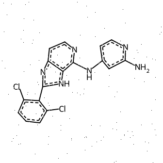 Nc1cc(Nc2nccc3nc(-c4c(Cl)cccc4Cl)[nH]c23)ccn1